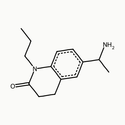 CCCN1C(=O)CCc2cc(C(C)N)ccc21